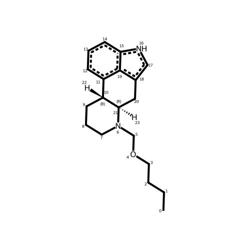 CCCCOCN1CCC[C@@H]2c3cccc4[nH]cc(c34)C[C@H]21